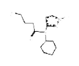 CCCCC(=O)N(c1ccn(C)n1)C1CCCCC1